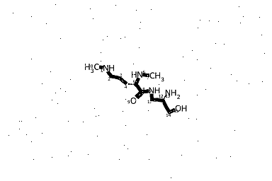 CNCCC[C@H](NC)C(=O)NC[C@H](N)CO